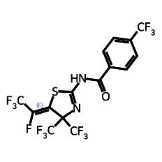 O=C(NC1=NC(C(F)(F)F)(C(F)(F)F)/C(=C(\F)C(F)(F)F)S1)c1ccc(C(F)(F)F)cc1